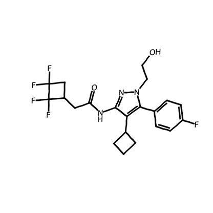 O=C(CC1CC(F)(F)C1(F)F)Nc1nn(CCO)c(-c2ccc(F)cc2)c1C1CCC1